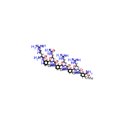 COc1ccc(NC(=O)[C@@H](CCCNC(=N)N)NC(=O)c2cc(NC(=O)[C@@H](CCCNC(=N)N)NC(=O)c3cc(NC(=O)[C@H](CCCNC(N)=O)NC(=O)c4cc(NC(=O)[C@H](N)CCCNC(=N)N)ccc4OC)ccc3OC)ccc2OC)cc1C(N)=O